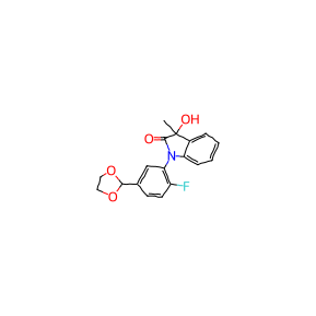 CC1(O)C(=O)N(c2cc(C3OCCO3)ccc2F)c2ccccc21